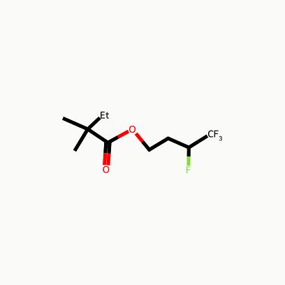 CCC(C)(C)C(=O)OCCC(F)C(F)(F)F